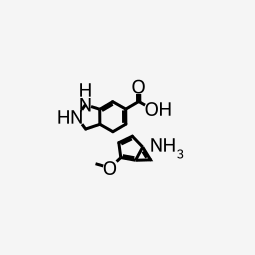 COc1ccc2cc1-2.N.O=C(O)C1=CCC2CNNC2=C1